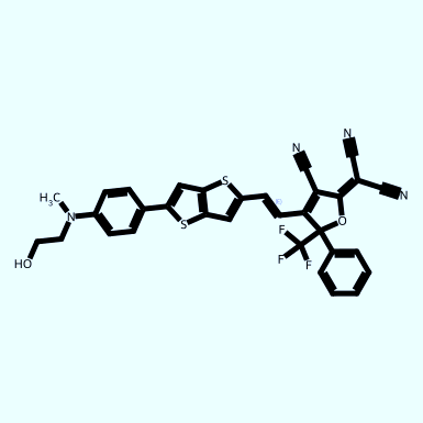 CN(CCO)c1ccc(-c2cc3sc(/C=C/C4=C(C#N)C(=C(C#N)C#N)OC4(c4ccccc4)C(F)(F)F)cc3s2)cc1